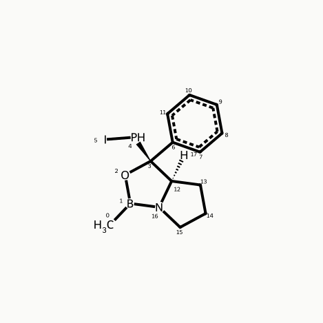 CB1O[C@](PI)(c2ccccc2)[C@H]2CCCN12